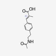 CC(=O)NCCc1ccc(/C=C(\C)C(=O)O)cc1